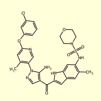 Cc1cc2cc(C(=O)c3cnn(-c4cnc(Oc5cccc(Cl)c5)cc4C)c3N)[nH]c2cc1NS(=O)(=O)N1CCOCC1